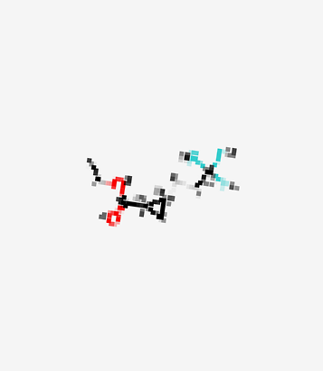 CCOC(=O)[C@@H]1C[C@H]1CCC(F)(F)F